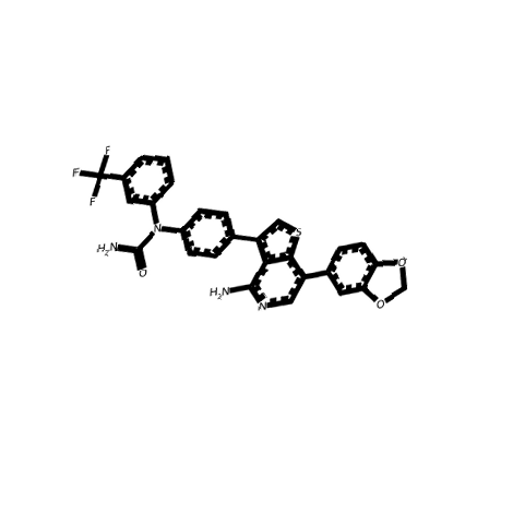 NC(=O)N(c1ccc(-c2csc3c(-c4ccc5c(c4)OCO5)cnc(N)c23)cc1)c1cccc(C(F)(F)F)c1